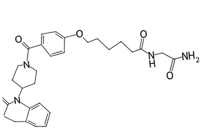 NC(=O)CNC(=O)CCCCCOc1ccc(C(=O)N2CCC(N3C(=O)CCc4ccccc43)CC2)cc1